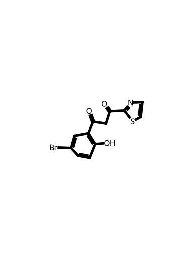 O=C(CC(=O)c1cc(Br)ccc1O)c1nccs1